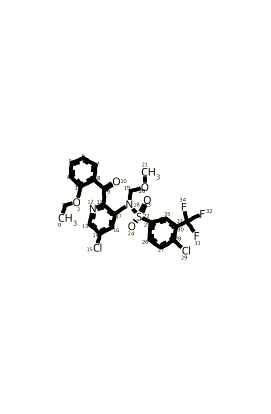 CCOc1ccccc1C(=O)c1ncc(Cl)cc1N(COC)S(=O)(=O)c1ccc(Cl)c(C(F)(F)F)c1